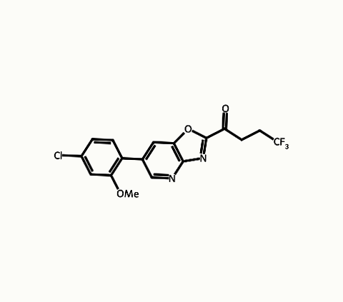 COc1cc(Cl)ccc1-c1cnc2nc(C(=O)CCC(F)(F)F)oc2c1